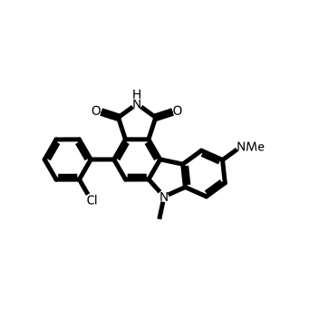 CNc1ccc2c(c1)c1c3c(c(-c4ccccc4Cl)cc1n2C)C(=O)NC3=O